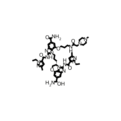 CCn1nc(C)cc1C(=O)Nc1nc2cc(C(N)=O)cc(OCCCNC(=O)CN3CCN(C)CC3)c2n1CCC[C@H]1COc2cc(C(N)O)cc3nc(NC(=O)c4cc(C)nn4CC)n1c23